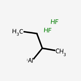 CC[CH](C)[Al].F.F